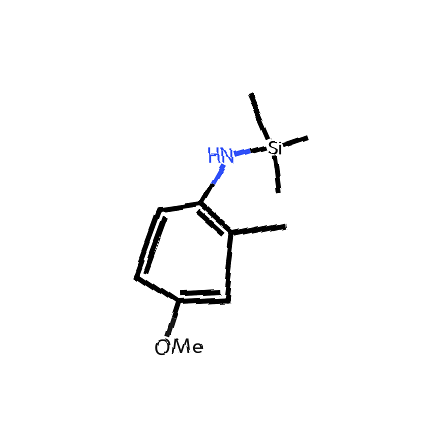 COc1ccc(N[Si](C)(C)C)c(C)c1